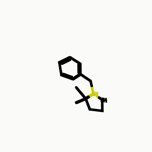 CC1(C)CCB[SH]1Cc1ccccc1